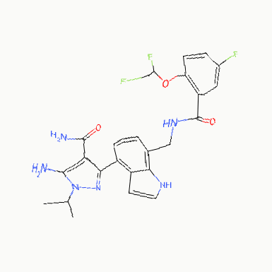 CC(C)n1nc(-c2ccc(CNC(=O)c3cc(F)ccc3OC(F)F)c3[nH]ccc23)c(C(N)=O)c1N